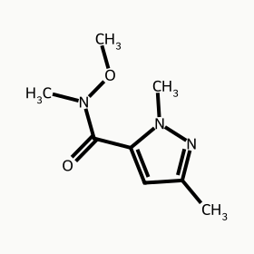 CON(C)C(=O)c1cc(C)nn1C